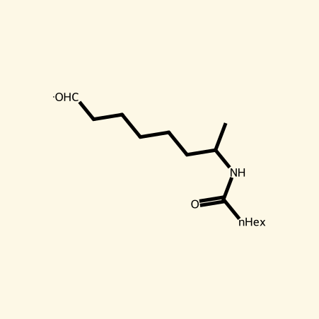 CCCCCCC(=O)NC(C)CCCCC[C]=O